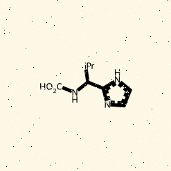 CC(C)C(NC(=O)O)c1ncc[nH]1